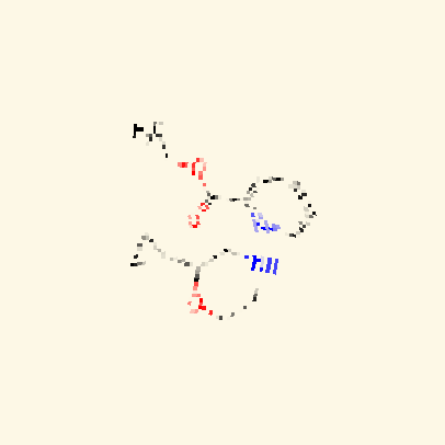 C1COC(C2CC2)CN1.CCOC(=O)c1ccccn1